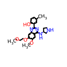 COCCOc1cc2nc(-c3cc(C)ccc3O)nc(N[C@H]3CCNC3)c2cc1OC